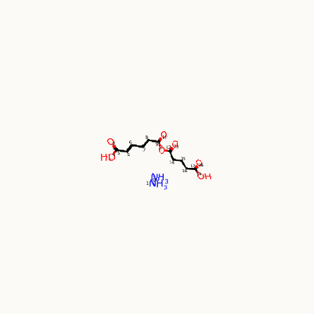 N.N.O=C(O)CCCCC(=O)OC(=O)CCCC(=O)O